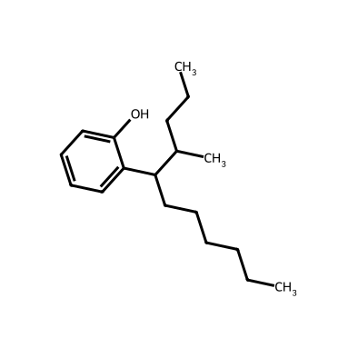 CCCCCCC(c1ccccc1O)C(C)CCC